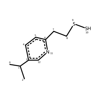 CC(C)c1ccc(CCSS)nc1